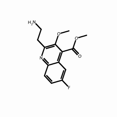 COC(=O)c1c(OC)c(CCN)nc2ccc(F)cc12